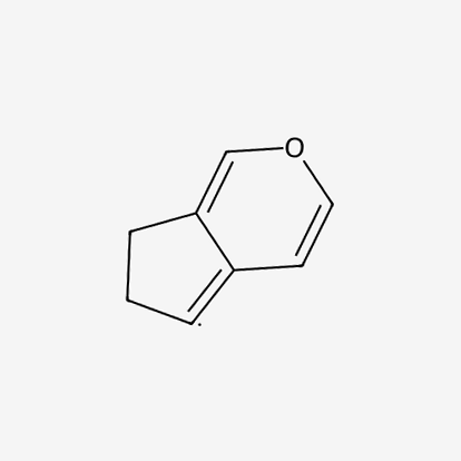 [C]1=C2C=COC=C2CC1